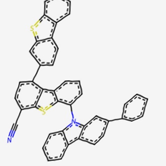 N#Cc1ccc(-c2ccc3c(c2)sc2ccccc23)c2c1sc1c(-n3c4ccccc4c4ccc(-c5ccccc5)cc43)cccc12